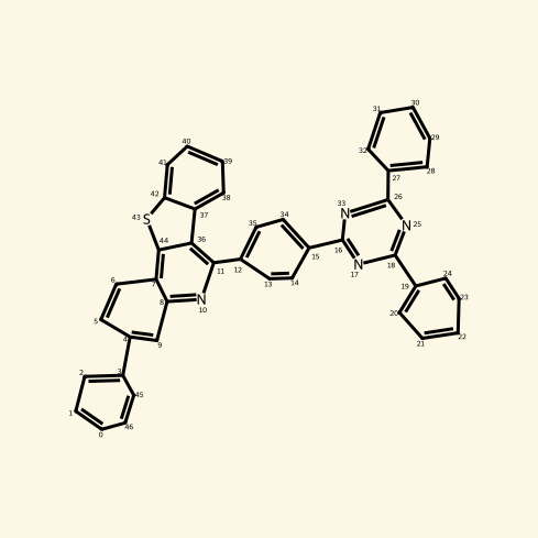 c1ccc(-c2ccc3c(c2)nc(-c2ccc(-c4nc(-c5ccccc5)nc(-c5ccccc5)n4)cc2)c2c4ccccc4sc32)cc1